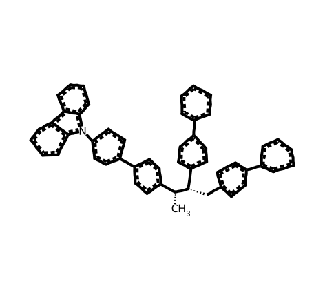 C[C@H](c1ccc(-c2ccc(-n3c4ccccc4c4ccccc43)cc2)cc1)[C@@H](Cc1ccc(-c2ccccc2)cc1)c1ccc(-c2ccccc2)cc1